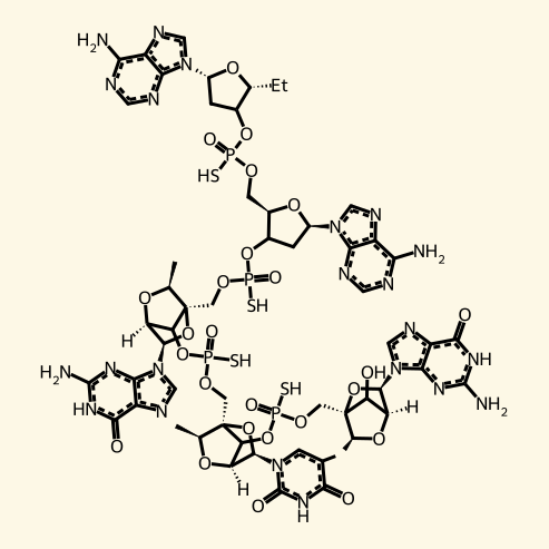 CC[C@H]1O[C@@H](n2cnc3c(N)ncnc32)CC1OP(=O)(S)OC[C@H]1O[C@@H](n2cnc3c(N)ncnc32)CC1OP(=O)(S)OC[C@@]12O[C@@H](n3cnc4c(=O)[nH]c(N)nc43)[C@@H](O[C@H]1C)C2OP(=O)(S)OC[C@@]12O[C@@H](n3cc(C)c(=O)[nH]c3=O)[C@@H](O[C@H]1C)C2OP(=O)(S)OC[C@@]12O[C@@H](n3cnc4c(=O)[nH]c(N)nc43)[C@@H](O[C@H]1C)C2O